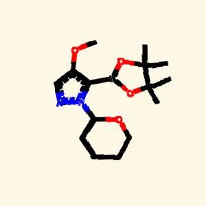 COc1cnn(C2CCCCO2)c1B1OC(C)(C)C(C)(C)O1